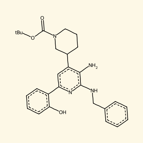 CC(C)(C)OC(=O)N1CCCC(c2cc(-c3ccccc3O)nc(NCc3ccccc3)c2N)C1